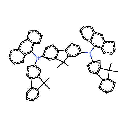 CC1(C)c2ccccc2-c2ccc(N(c3ccc4c(c3)C(C)(C)c3cc(N(c5ccc6c(c5)C(C)(C)c5ccccc5-6)c5c6ccccc6cc6ccccc56)ccc3-4)c3c4ccccc4cc4ccccc34)cc21